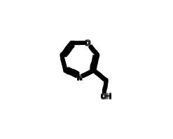 OCC1=COC=CC=N1